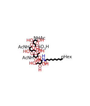 CCCCCC/C=C\CCCCCCCC(=O)N[C@H]1C(O)[C@H](O)C(CO)O[C@H]1O[C@@H]1C(CO)O[C@@H](O[C@@H]2C(CO)O[C@@H](O[C@@H]3C(COS(=O)(=O)O)O[C@@H](O)[C@@H](NC(C)=O)C3O)[C@@H](NC(C)=O)C2O)[C@@H](NC(C)=O)C1O